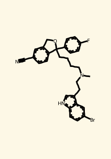 CN(CCCCC1(c2ccc(F)cc2)OCc2cc(C#N)ccc21)CCc1c[nH]c2ccc(Br)cc12